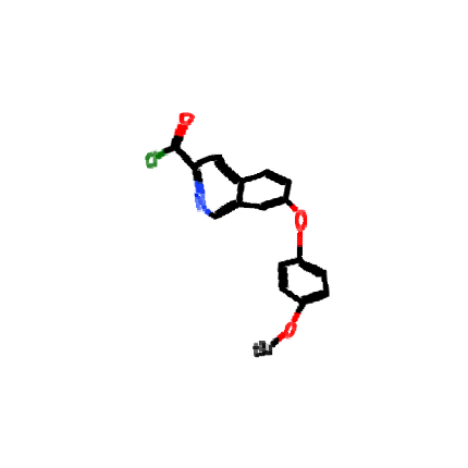 CC(C)(C)Oc1ccc(Oc2ccc3cc(C(=O)Cl)ncc3c2)cc1